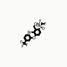 O=S(=O)(c1ccc(Oc2cccc(C(F)(F)F)c2)c(Br)c1CO)C(F)F